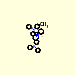 C/C=C(\C=C/C1=Cc2cc(N(c3ccccc3)c3ccccc3)ccc2CN(C2=CC=CCC=C2)C1)N(c1ccccc1)c1ccc(C)cc1